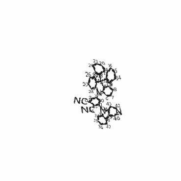 N#Cc1cc(N2c3ccccc3C(c3ccccc3)(c3ccccc3)c3ccccc32)cc(-n2c3ccccc3c3cnccc32)c1C#N